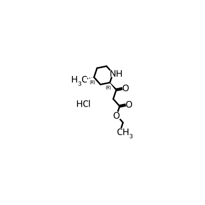 CCOC(=O)CC(=O)[C@H]1C[C@H](C)CCN1.Cl